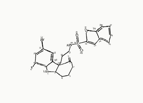 C=C1CCCC2Nc3c(F)cc(Br)cc3C12CCNS(=O)(=O)c1cc2ccccc2o1